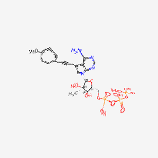 COc1ccc(C#Cc2cn([C@@H]3O[C@H](COP(=O)(O)OP(=O)(O)OP(=O)(O)O)[C@@H](O)[C@@]3(C)O)c3ncnc(N)c23)cc1